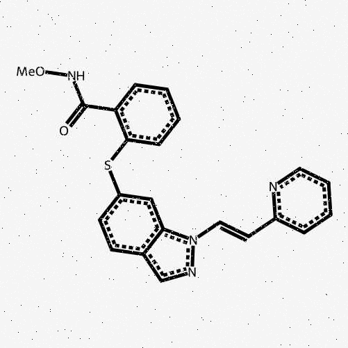 CONC(=O)c1ccccc1Sc1ccc2cnn(C=Cc3ccccn3)c2c1